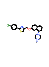 CN1CCN(c2cccc3ccc(OCc4csc(-c5ccc(Cl)cc5)n4)cc23)CC1